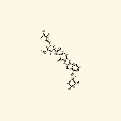 COC(=O)N[C@@H](CC/C=C/C(=O)N(C)C)C(=O)Nc1cccn(Cc2nc3c(OCc4ccc(F)cc4F)ncnc3[nH]2)c1=O